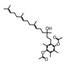 CC(=O)Oc1c(C)c(C)c(OC(C)=O)c(CCC(C)(O)CC/C=C(\C)CC/C=C(\C)CCC=C(C)C)c1C